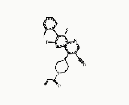 C=CC(=O)N1CCN(c2c(C#N)cnc3c(Cl)c(-c4ccccc4F)c(F)cc23)CC1